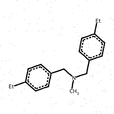 CCc1ccc(CN(C)Cc2ccc(CC)cc2)cc1